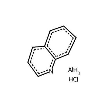 Cl.[AlH3].c1ccc2ncccc2c1